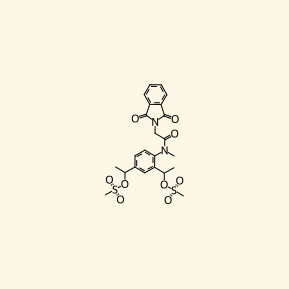 CC(OS(C)(=O)=O)c1ccc(N(C)C(=O)CN2C(=O)c3ccccc3C2=O)c(C(C)OS(C)(=O)=O)c1